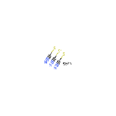 N#C[S-].N#C[S-].N#C[S-].[Sb+3]